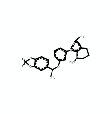 C[C@H](Oc1cc(-n2nc(C(F)(F)F)c3c2[C@H](N)CCC3)ccn1)c1ccc2c(c1)OC(F)(F)O2